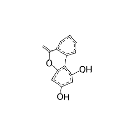 C=C1Oc2cc(O)cc(O)c2-c2ccccc21